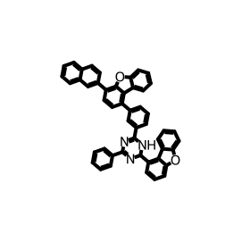 c1ccc(C2=NC(c3cccc4oc5ccccc5c34)NC(c3cccc(-c4ccc(-c5ccc6ccccc6c5)c5oc6ccccc6c45)c3)=N2)cc1